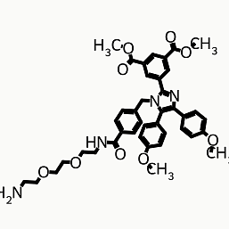 COC(=O)c1cc(C(=O)OC)cc(-c2nc(-c3ccc(OC)cc3)c(-c3ccc(OC)cc3)n2Cc2ccc(C(=O)NCCOCCOCCN)cc2)c1